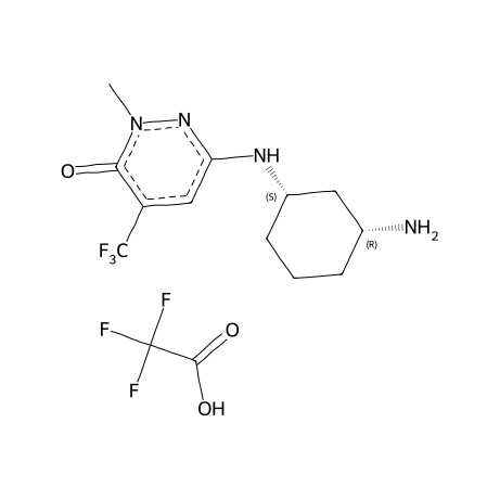 Cn1nc(N[C@H]2CCC[C@@H](N)C2)cc(C(F)(F)F)c1=O.O=C(O)C(F)(F)F